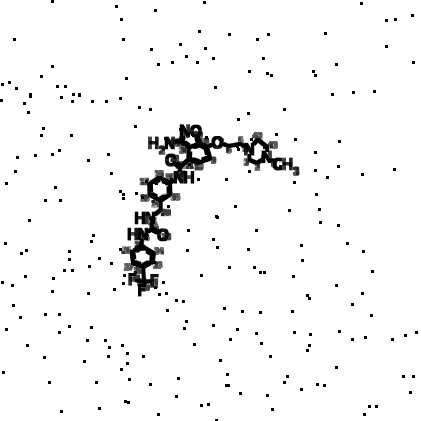 CN1CCN(CCOc2ccc(C(=O)Nc3cccc(CNC(=O)Nc4ccc(C(F)(F)F)cc4)c3)c3c(N)noc23)CC1